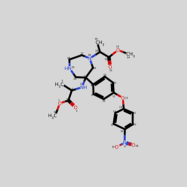 COC(=O)C(C)NC1(c2ccc(Oc3ccc([N+](=O)[O-])cc3)cc2)CNCCN(C(C)C(=O)OC)C1